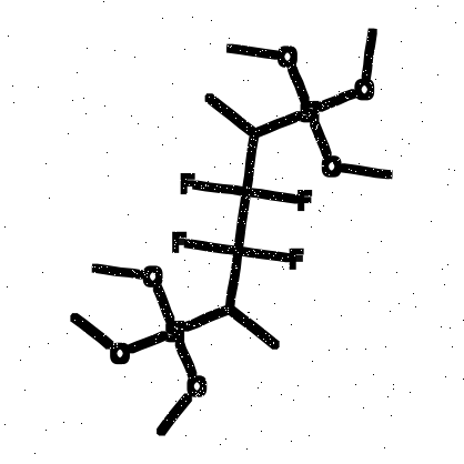 CO[Si](OC)(OC)C(C)C(F)(F)C(F)(F)C(C)[Si](OC)(OC)OC